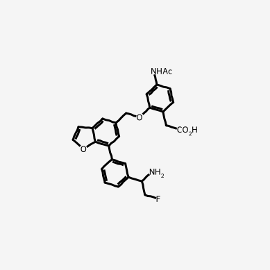 CC(=O)Nc1ccc(CC(=O)O)c(OCc2cc(-c3cccc(C(N)CF)c3)c3occc3c2)c1